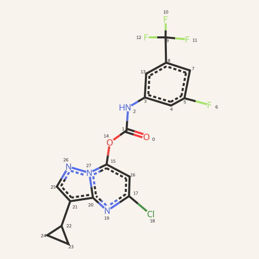 O=C(Nc1cc(F)cc(C(F)(F)F)c1)Oc1cc(Cl)nc2c(C3CC3)cnn12